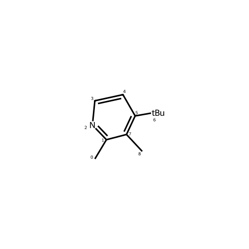 Cc1nccc(C(C)(C)C)c1C